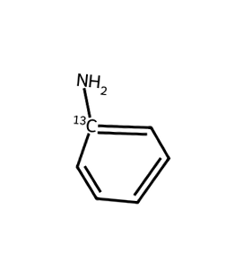 N[13c]1ccccc1